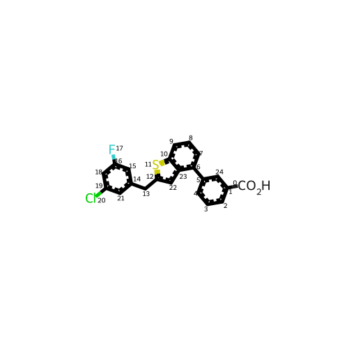 O=C(O)c1cccc(-c2cccc3sc(Cc4cc(F)cc(Cl)c4)cc23)c1